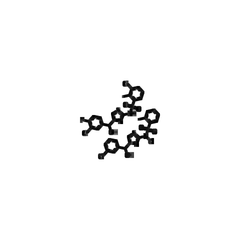 Cc1c(Cl)cccc1S(=O)(=O)Nc1nc(C(O)c2ccc(F)c(Cl)c2)cs1.Cc1ccccc1S(=O)(=O)N(Cl)c1nc(C(O)c2cccc(Cl)c2)cs1